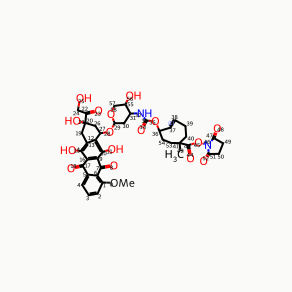 COc1cccc2c1C(=O)c1c(O)c3c(c(O)c1C2=O)CC(O)(C(=O)CO)CC3OC1CC(NC(=O)OC2/C=C/CCC(C)(C(=O)ON3C(=O)CCC3=O)CC2)C(O)CO1